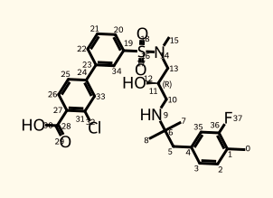 Cc1ccc(CC(C)(C)NC[C@@H](O)CN(C)S(=O)(=O)c2cccc(-c3ccc(C(=O)O)c(Cl)c3)c2)cc1F